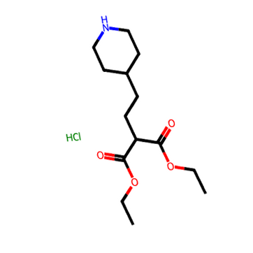 CCOC(=O)C(CCC1CCNCC1)C(=O)OCC.Cl